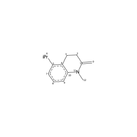 C=C1CCc2c(C(C)C)cccc2N1C